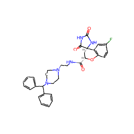 O=C1NC(=O)[C@@]2(C[C@@H](C(=O)NCCN3CCN(C(c4ccccc4)c4ccccc4)CC3)Oc3ccc(F)cc32)N1